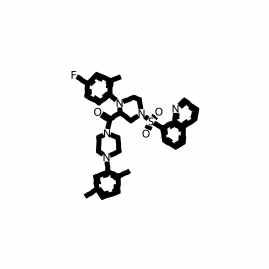 Cc1ccc(C)c(N2CCN(C(=O)C3CN(S(=O)(=O)c4cccc5cccnc45)CCN3c3ccc(F)cc3C)CC2)c1